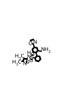 Cc1noc(NS(=O)(=O)c2ccccc2-c2ccc(-c3ncco3)cc2CN)c1C